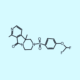 Cc1nccc2c1C(=O)N1CCN(S(=O)(=O)c3ccc(OC(F)F)cc3)CC21C